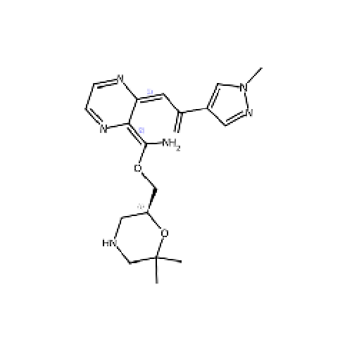 C=C(/C=c1/nccn/c1=C(/N)OC[C@@H]1CNCC(C)(C)O1)c1cnn(C)c1